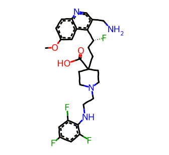 COc1ccc2ncc(CN)c([C@H](F)CCC3(C(=O)O)CCN(CCNc4c(F)cc(F)cc4F)CC3)c2c1